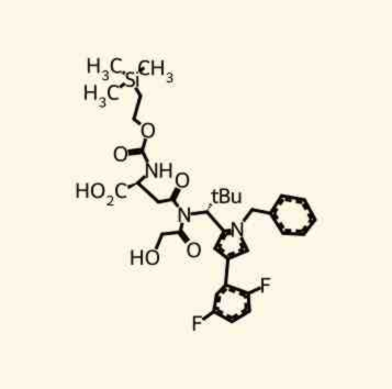 CC(C)(C)[C@H](c1cc(-c2cc(F)ccc2F)cn1Cc1ccccc1)N(C(=O)CO)C(=O)C[C@H](NC(=O)OCC[Si](C)(C)C)C(=O)O